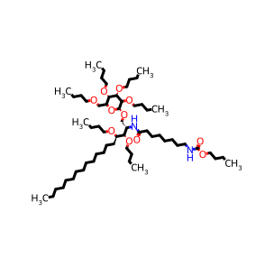 CCCCCCCCCCCCCC[C@@H](OCCCC)[C@@H](OCCCC)[C@H](CO[C@H]1OC(COCCCC)[C@H](OCCCC)[C@H](OCCCC)C1OCCCC)NC(=O)CCCCCCCNC(=O)OCCCC